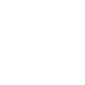 CCCCSP(O)(=S)OCC(CC)CCCC